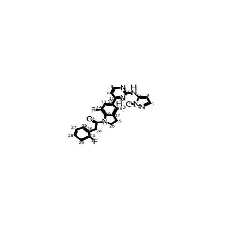 Cn1nccc1Nc1nccc(-c2cc(F)c3c(c2)CCN3C(=O)Cc2ccccc2F)n1